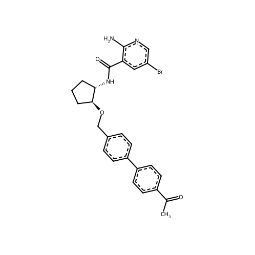 CC(=O)c1ccc(-c2ccc(CO[C@H]3CCC[C@@H]3NC(=O)c3cc(Br)cnc3N)cc2)cc1